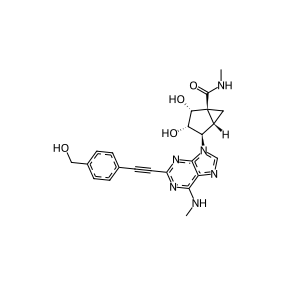 CNC(=O)[C@@]12C[C@@H]1[C@@H](n1cnc3c(NC)nc(C#Cc4ccc(CO)cc4)nc31)[C@H](O)[C@@H]2O